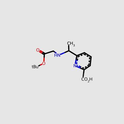 CC(NCC(=O)OC(C)(C)C)c1cccc(C(=O)O)n1